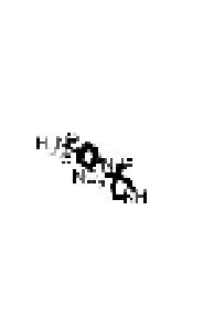 NS(=O)(=O)c1ccc(NCC2(CF)CCNCC2)c([N+](=O)[O-])c1